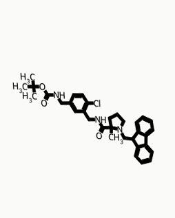 CC(C)(C)OC(=O)NCc1ccc(Cl)c(CNC(=O)C2(C)CCCN2CC2c3ccccc3-c3ccccc32)c1